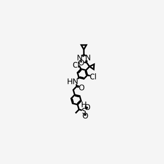 CC(c1ccc(CC(=O)Nc2cc(Cl)c(C3(c4nc(C5CC5)no4)CC3)c(Cl)c2)cc1)[SH](=O)=O